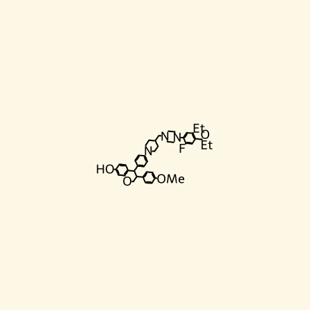 CCC(=O)c1cc(F)c(N2CCN(CC3CCN(c4ccc(C5c6ccc(O)cc6OCC5c5ccc(OC)cc5)cc4)CC3)CC2)cc1CC